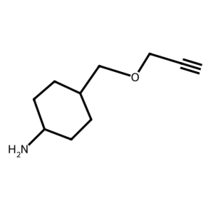 C#CCOCC1CCC(N)CC1